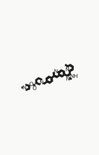 Cc1cccc(-c2[nH]cnc2-c2ccc3ncc(-c4ccc(CN5CCC[C@@H](C(=O)O[C@@H]6CCN(C)C6)C5)cc4)cc3c2)n1